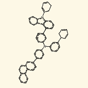 C1=CCCC(n2c3ccccc3c3c(-c4cccc(N(c5ccc(-c6ccc7c(ccc8ccccc87)c6)cc5)c5cccc(C6C=CC=CC6)c5)c4)cccc32)=C1